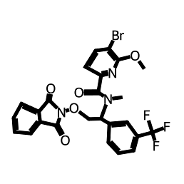 COc1nc(C(=O)N(C)C(CON2C(=O)c3ccccc3C2=O)c2cccc(C(F)(F)F)c2)ccc1Br